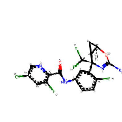 NC1=N[C@@](c2cc(NC(=O)c3ncc(Cl)cc3F)ccc2F)(C(F)F)C2C[C@H]2O1